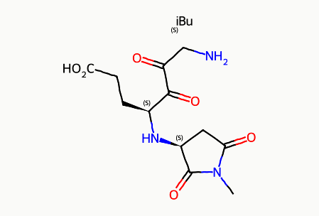 CC[C@H](C)C(N)C(=O)C(=O)[C@H](CCC(=O)O)N[C@H]1CC(=O)N(C)C1=O